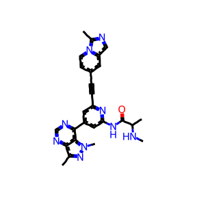 CNC(C)C(=O)Nc1cc(-c2ncnc3c(C)nn(C)c23)cc(C#Cc2ccn3c(C)ncc3c2)n1